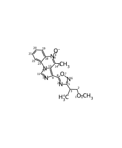 COCC(C)c1noc(-c2ncn3c2c(C)[n+]([O-])c2ccccc23)n1